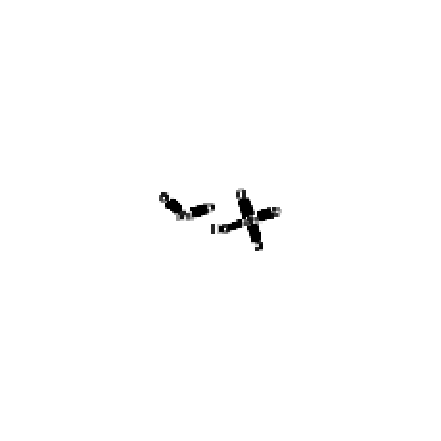 [O]=[Mn](=[O])(=[O])[OH].[O]=[Mn]=[O]